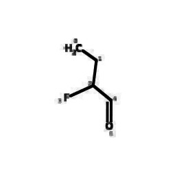 [CH2]CC(F)C=O